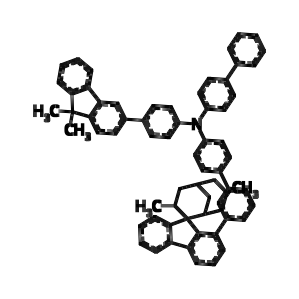 CC1CC2CC(C)C3(c4ccccc4-c4cccc(-c5cccc(-c6ccc(N(c7ccc(-c8ccccc8)cc7)c7ccc(-c8ccc9c(c8)-c8ccccc8C9(C)C)cc7)cc6)c5)c43)C(C1)C2